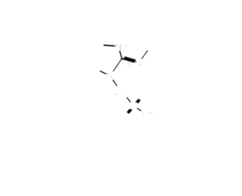 C/N=C(\NC)N(C)C.O=S(=O)(O)O